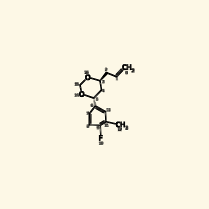 C=CC[C@H]1C[C@H](c2ccc(F)c(C)c2)OCO1